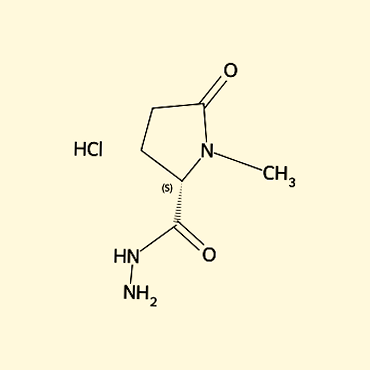 CN1C(=O)CC[C@H]1C(=O)NN.Cl